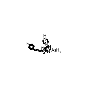 Fc1ccc(CCCc2nc3c(N4CCNCC4)nc([AsH2])nc3s2)cc1